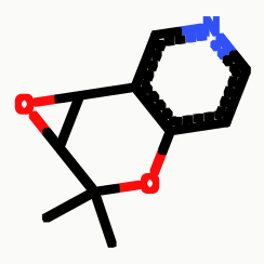 CC1(C)Oc2ccncc2C2OC21